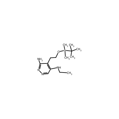 CCNc1cnnc(N)c1CCO[Si](C)(C)C(C)(C)C